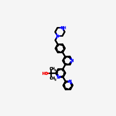 CC(C)(O)c1cc(-c2cncc(-c3ccc(CN4CCNCC4)cc3)c2)cc(-c2ccccn2)n1